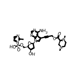 Cc1nccn1P(=O)(O)OC[C@H]1O[C@@H](n2cc(C#CCOC(=O)C3CN(C)CCN3C)c3c(N)ncnc32)C[C@H]1O